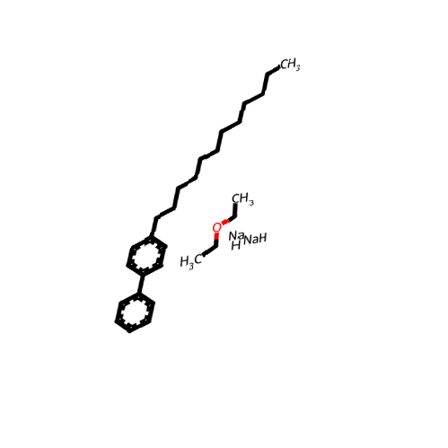 CCCCCCCCCCCCc1ccc(-c2ccccc2)cc1.CCOCC.[NaH].[NaH]